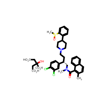 Cc1ccc2ccccc2c1C(=O)N(C)C[C@@H](CCN1CCC(c2ccccc2[S+](C)[O-])CC1)c1ccc(Cl)c(Cl)c1.O=C(O)CC(O)(CC(=O)O)C(=O)O